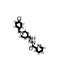 O=C(N/N=C/C1CCN(Cc2ccc(Cl)cc2)CC1)c1ccccn1